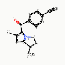 C#Cc1ccc(C(=O)c2c(CC)cc3n2CCC3C(=O)OCC)cc1